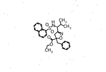 CCOC(=O)C1(Cc2ccccc2)CC([C@@H](NS(=O)(=O)c2cccc3ccccc23)C(C)C)=NO1